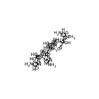 COCC[C@H]1[C@@H](O)[C@H](n2c[n+](C)c3c(=O)[nH]c(N)nc32)O[C@@H]1COP(=O)(O)OP(=O)(O)CP(=O)(O)OP(=O)(O)OCC1O[C@@H](n2cnc3c(N)ncnc32)[C@H](OC)[C@@H]1P(=O)([O-])OC[C@H]1O[C@@H](n2cnc3c(=O)[nH]c(N)nc32)[C@H](O)[C@@H]1O